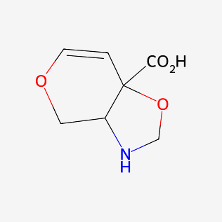 O=C(O)C12C=COCC1NCO2